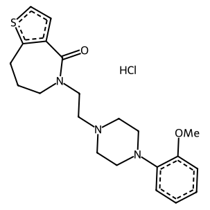 COc1ccccc1N1CCN(CCN2CCCc3sccc3C2=O)CC1.Cl